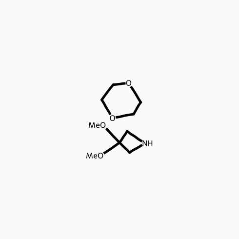 C1COCCO1.COC1(OC)CNC1